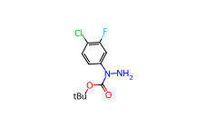 CC(C)(C)OC(=O)N(N)c1ccc(Cl)c(F)c1